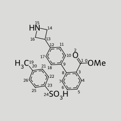 COC(=O)c1ccccc1-c1ccc(C2CNC2)cc1.Cc1ccc(S(=O)(=O)O)cc1